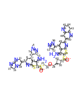 Cc1nn(C)cc1-c1cc(-c2cnc3nccn3c2)nc2sc([S+]([O-])CCOCC3CC([S+]([O-])c4sc5nc(-c6cnc7cccnc7c6)cc(-c6ccnn6C)c5c4N)C3)c(N)c12